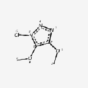 COc1nnn(Cl)c1OC